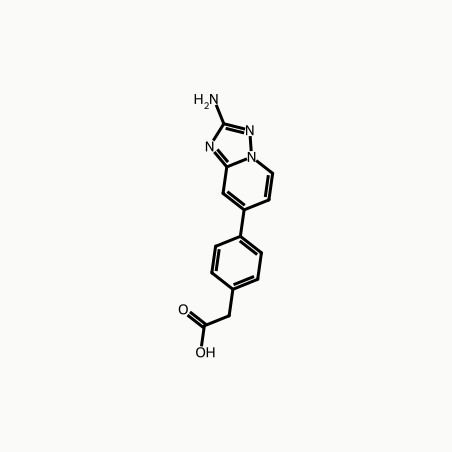 Nc1nc2cc(-c3ccc(CC(=O)O)cc3)ccn2n1